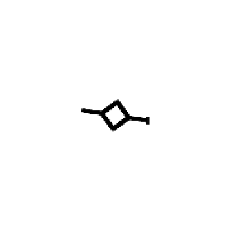 CC1CC(I)C1